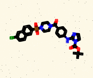 CC(C)(C)OC(=O)n1ccnc1N[C@H]1CC[C@H](C(=O)N2CCN(S(=O)(=O)c3ccc4cc(Cl)ccc4c3)CC2)CC1